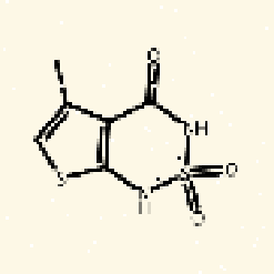 Cc1csc2c1C(=O)NS(=O)(=O)N2